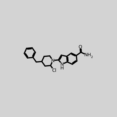 NC(=O)c1ccc2[nH]c(N3CCC(Cc4ccccc4)CC3Cl)cc2c1